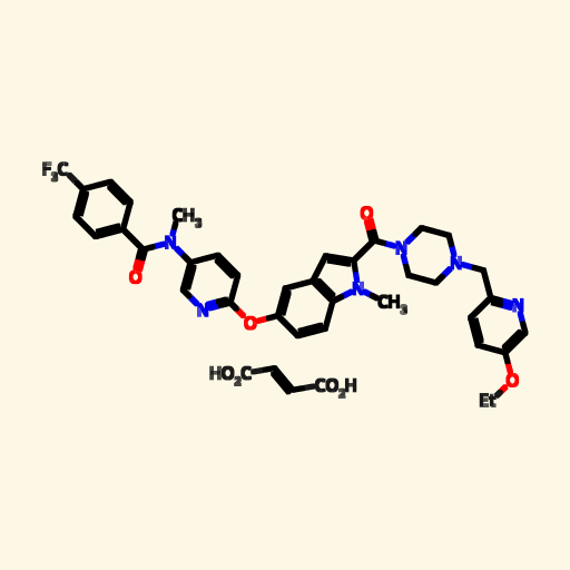 CCOc1ccc(CN2CCN(C(=O)c3cc4cc(Oc5ccc(N(C)C(=O)c6ccc(C(F)(F)F)cc6)cn5)ccc4n3C)CC2)nc1.O=C(O)C=CC(=O)O